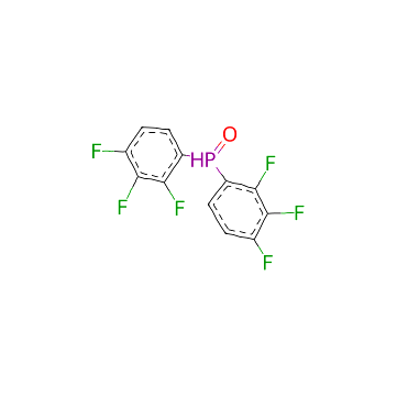 O=[PH](c1ccc(F)c(F)c1F)c1ccc(F)c(F)c1F